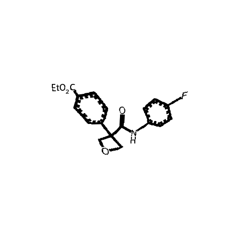 CCOC(=O)c1ccc(C2(C(=O)Nc3ccc(F)cc3)COC2)cc1